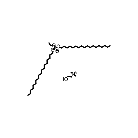 CCCCCCCCCCCCCCCCCCOP(=O)(OCC)OCCCCCCCCCCCCCCCCCC.C[N+](C)(C)CCO